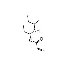 C=CC(=O)OC(CC)NC(C)CC